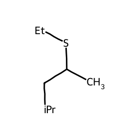 CCSC(C)CC(C)C